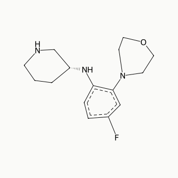 Fc1ccc(N[C@@H]2CCCNC2)c(N2CCOCC2)c1